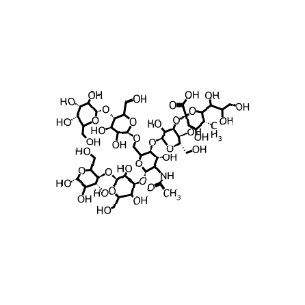 CC(=O)NC1[C@H](O[C@@H]2C(O)[C@H](O[C@@H]3C(CO)O[C@@H](O)C(O)[C@H]3O)OC(CO)[C@@H]2O)OC(CO[C@@H]2OC(CO)[C@@H](O[C@@H]3OC(CO)[C@H](O)[C@H](O)C3O)[C@H](O)C2O)[C@@H](O[C@@H]2O[C@@H](CO)[C@H](O)C(O[C@]3(C(=O)O)C[C@@H](O)[C@@H](C)C(C(O)C(O)CO)O3)C2O)[C@@H]1O